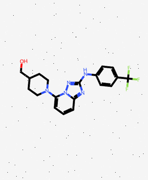 OCC1CCN(c2cccc3nc(Nc4ccc(C(F)(F)F)cc4)nn23)CC1